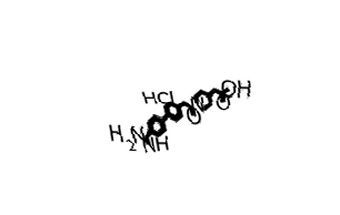 Cl.N=C(N)c1ccc(-c2ccc(CC(=O)N3CCC(CC(=O)O)CC3)cc2)cc1